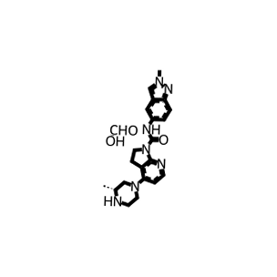 C[C@@H]1CN(c2ccnc3c2CCN3C(=O)Nc2ccc3nn(C)cc3c2)CCN1.O=CO